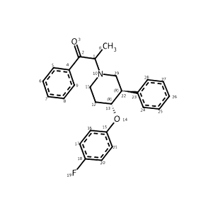 CC(C(=O)c1ccccc1)N1CC[C@@H](Oc2ccc(F)cc2)[C@H](c2ccccc2)C1